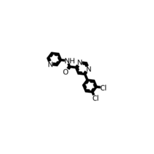 O=C(Nc1cccnc1)c1cc(-c2ccc(Cl)c(Cl)c2)ncn1